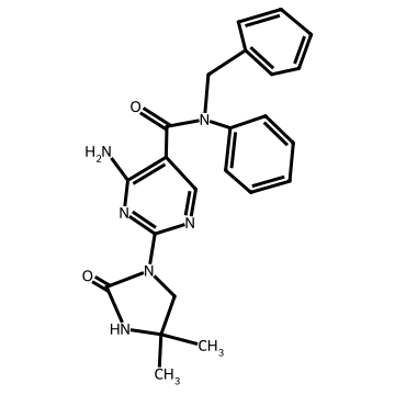 CC1(C)CN(c2ncc(C(=O)N(Cc3ccccc3)c3ccccc3)c(N)n2)C(=O)N1